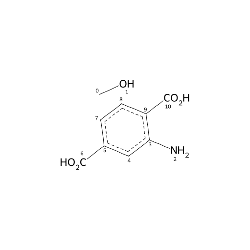 CO.Nc1cc(C(=O)O)ccc1C(=O)O